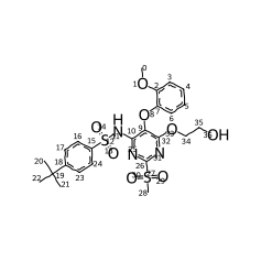 COc1ccccc1Oc1c(NS(=O)(=O)c2ccc(C(C)(C)C)cc2)nc(S(C)(=O)=O)nc1OCCO